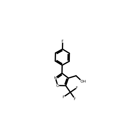 OCc1c(-c2ccc(F)cc2)noc1C(F)(F)F